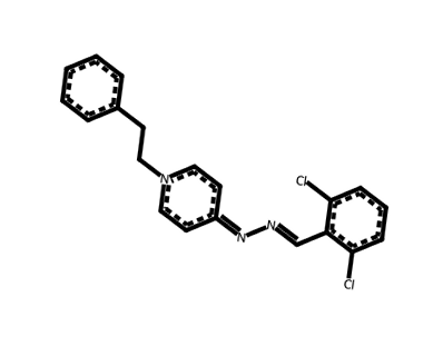 Clc1cccc(Cl)c1C=NN=c1ccn(CCc2ccccc2)cc1